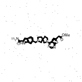 COC(=O)Cc1cc2c(N3CCC4(CCN(Cc5ccc6cc(C(N)=O)[nH]c6c5)C4)C3)ncnc2s1